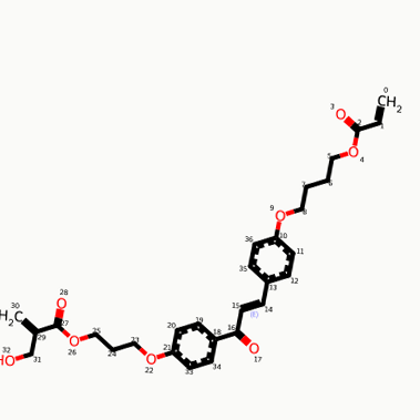 C=CC(=O)OCCCCOc1ccc(/C=C/C(=O)c2ccc(OCCCOC(=O)C(=C)CO)cc2)cc1